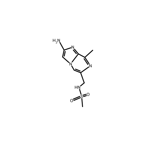 Cc1nc(CNS(C)(=O)=O)cn2cc(N)nc12